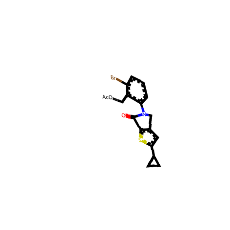 CC(=O)OCc1c(Br)cccc1N1Cc2cc(C3CC3)sc2C1=O